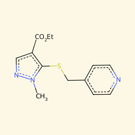 CCOC(=O)c1cnn(C)c1SCc1ccncc1